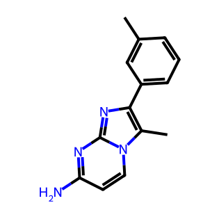 Cc1cccc(-c2nc3nc(N)ccn3c2C)c1